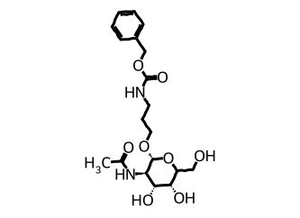 CC(=O)N[C@H]1[C@H](OCCCNC(=O)OCc2ccccc2)OC(CO)[C@H](O)[C@@H]1O